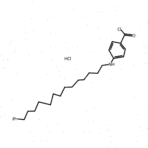 CC(C)CCCCCCCCCCCCCCNc1ccc(C(=O)Cl)cc1.Cl